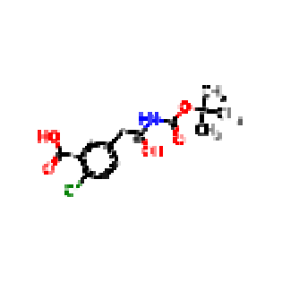 CC(C)(C)OC(=O)N[C@@H](O)Cc1ccc(Cl)c(C(=O)O)c1